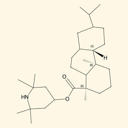 CC(C)C1CC[C@H]2C(CCC3[C@](C)(C(=O)OC4CC(C)(C)NC(C)(C)C4)CCC[C@@]32C)C1